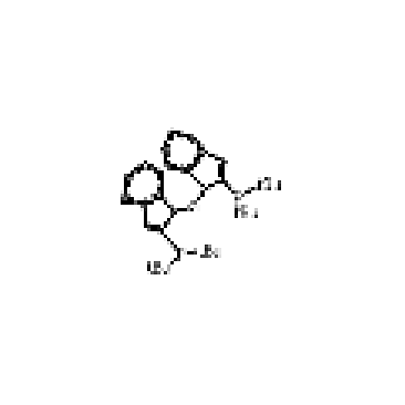 CC(C)(C)P(C1=Cc2ccccc2[CH]1[Zr][CH]1C(P(C(C)(C)C)C(C)(C)C)=Cc2ccccc21)C(C)(C)C